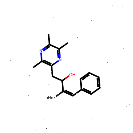 CCCCCCC(=Cc1ccccc1)C(O)Cc1nc(C)c(C)nc1C